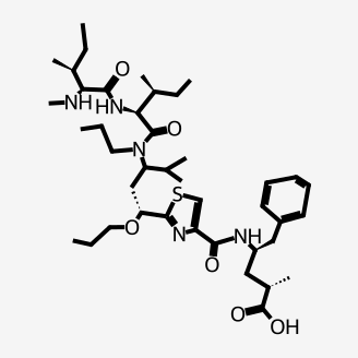 CCCO[C@H](CC(C(C)C)N(CCC)C(=O)[C@@H](NC(=O)[C@@H](NC)[C@@H](C)CC)[C@@H](C)CC)c1nc(C(=O)N[C@@H](Cc2ccccc2)C[C@H](C)C(=O)O)cs1